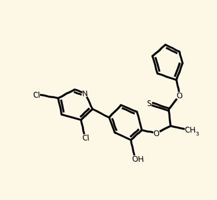 CC(Oc1ccc(-c2ncc(Cl)cc2Cl)cc1O)C(=S)Oc1ccccc1